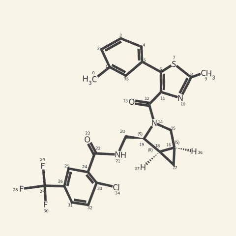 Cc1cccc(-c2sc(C)nc2C(=O)N2C[C@H]3C[C@H]3[C@H]2CNC(=O)c2cc(C(F)(F)F)ccc2Cl)c1